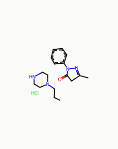 CC1=NN(c2ccccc2)C(=O)C1.CCCN1CCNCC1.Cl